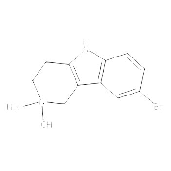 C[N+]1(C)CCc2[nH]c3ccc(Br)cc3c2C1